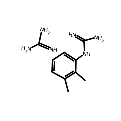 Cc1cccc(NC(=N)N)c1C.N=C(N)N